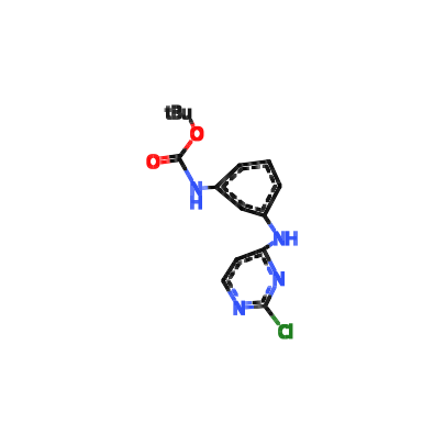 CC(C)(C)OC(=O)Nc1cccc(Nc2ccnc(Cl)n2)c1